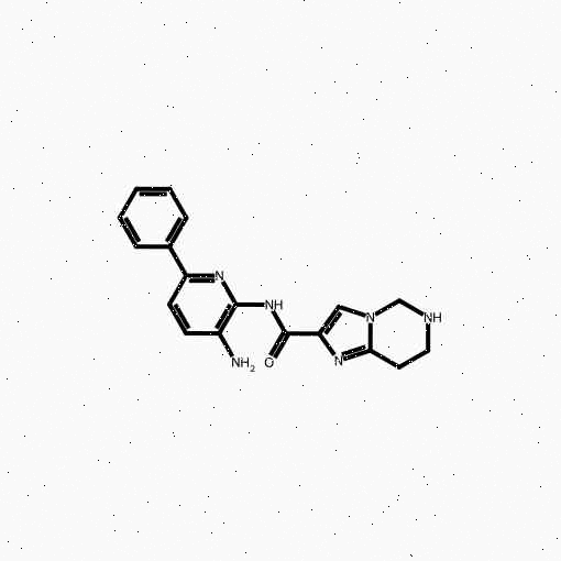 Nc1ccc(-c2ccccc2)nc1NC(=O)c1cn2c(n1)CCNC2